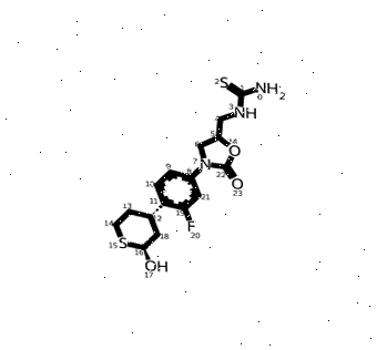 NC(=S)NCC1CN(c2ccc([C@H]3CCS[C@H](O)C3)c(F)c2)C(=O)O1